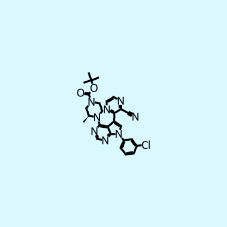 C[C@H]1CN(C(=O)OC(C)(C)C)CCN1c1ncnc2c1c(-c1nccnc1C#N)cn2-c1cccc(Cl)c1